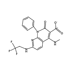 CNc1c([N+](=O)[O-])c(=O)n(-c2ccccc2)c2nc(NCC(F)(F)F)ccc12